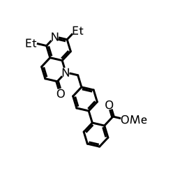 CCc1cc2c(ccc(=O)n2Cc2ccc(-c3ccccc3C(=O)OC)cc2)c(CC)n1